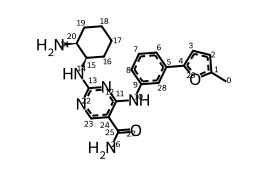 Cc1ccc(-c2cccc(Nc3nc(N[C@@H]4CCCC[C@@H]4N)ncc3C(N)=O)c2)o1